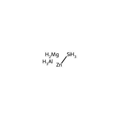 [AlH3].[MgH2].[SiH3][Zn]